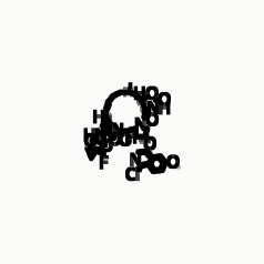 COc1ccc2c(Cl)ncc(O[C@@H]3C[C@H]4C(=O)N[C@]5(C(=O)NS(=O)(=O)C6(CF)CC6)C[C@H]5C=CCC[C@@H](C)C[C@@H](C)[C@H](NC(=O)O)C(=O)N4C3)c2c1